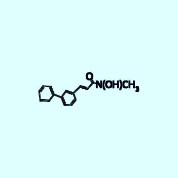 CN(O)C(=O)C=Cc1cccc(-c2ccccc2)c1